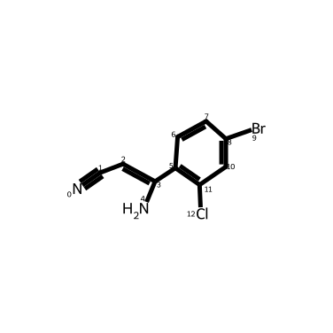 N#CC=C(N)c1ccc(Br)cc1Cl